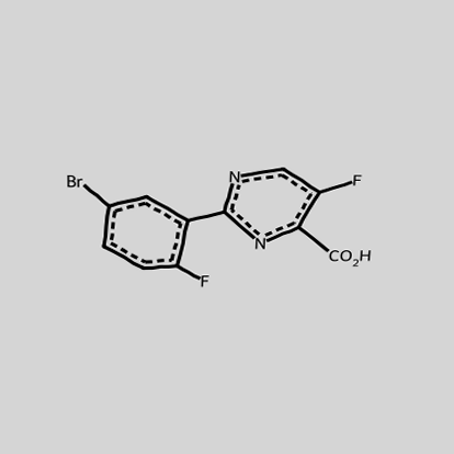 O=C(O)c1nc(-c2cc(Br)ccc2F)ncc1F